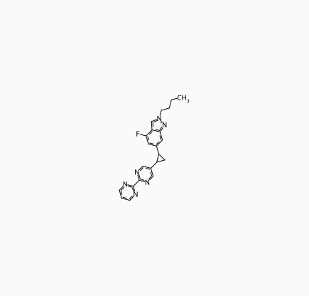 CCCCn1cc2c(F)cc(C3CC3c3cnc(-c4ncccn4)nc3)cc2n1